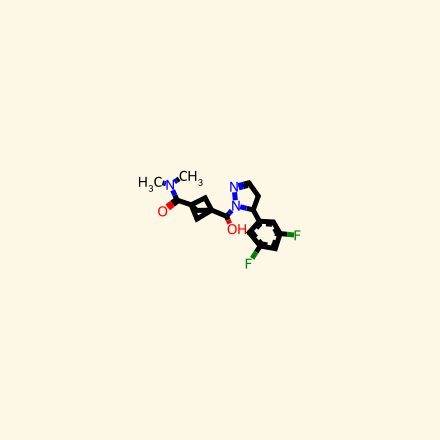 CN(C)C(=O)C12CC(C(O)N3N=CCC3c3cc(F)cc(F)c3)(C1)C2